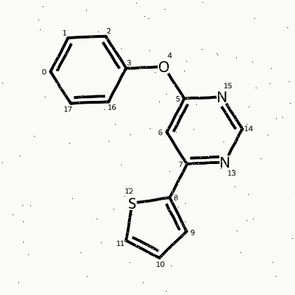 c1ccc(Oc2cc(-c3cccs3)ncn2)cc1